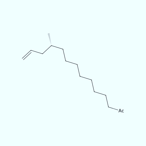 [CH2]C(=O)CCCCCCCC[C@@H](C)CC=C